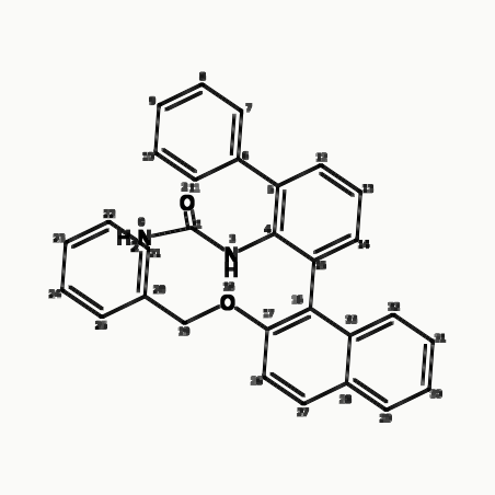 NC(=O)Nc1c(-c2ccccc2)cccc1-c1c(OCc2ccccc2)ccc2ccccc12